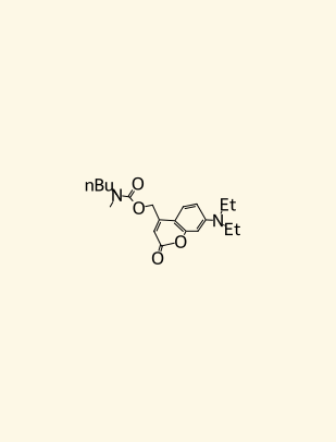 CCCCN(C)C(=O)OCc1cc(=O)oc2cc(N(CC)CC)ccc12